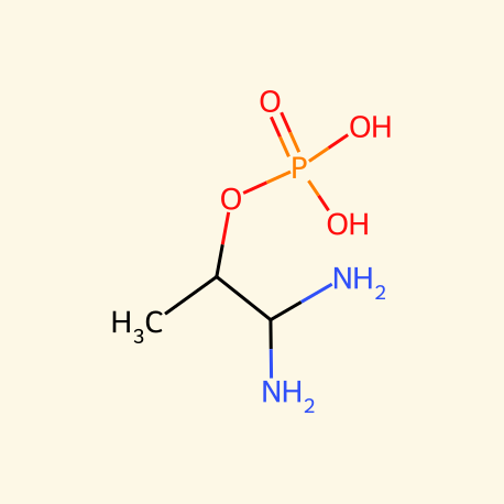 CC(OP(=O)(O)O)C(N)N